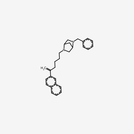 C=C(CCCCN1CC2CC1CN2Cc1ccccc1)c1ccc2ccccc2c1